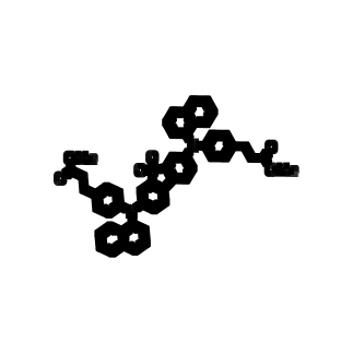 COC(=O)CCc1ccc(N(c2ccc3c(c2)S(=O)(=O)c2cc(N(c4ccc(CCC(=O)OC)cc4)c4cccc5ccccc45)ccc2-3)c2cccc3ccccc23)cc1